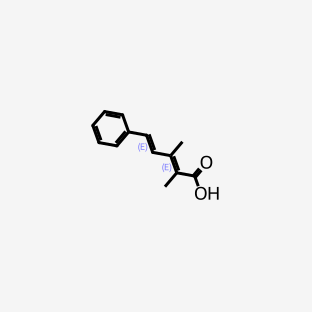 CC(/C=C/c1ccccc1)=C(/C)C(=O)O